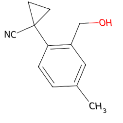 Cc1ccc(C2(C#N)CC2)c(CO)c1